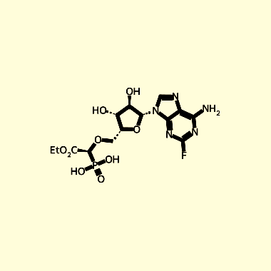 CCOC(=O)[C@@H](OC[C@H]1O[C@@H](n2cnc3c(N)nc(F)nc32)[C@H](O)[C@H]1O)P(=O)(O)O